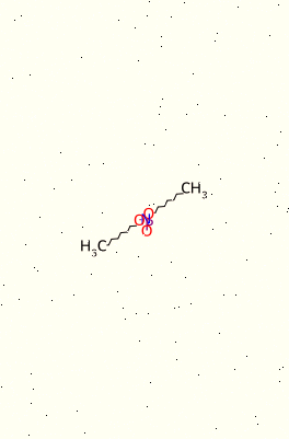 CCCCCCCCON(OCCCCCCCC)P=O